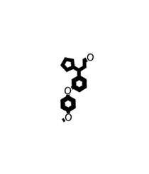 COc1ccc(Oc2cccc(C(CC=O)C3CCCC3)c2)cc1